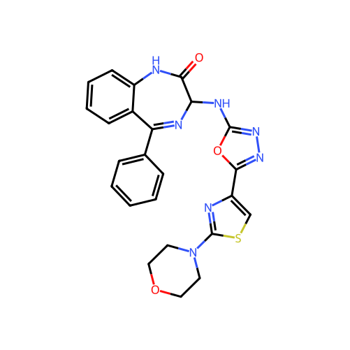 O=C1Nc2ccccc2C(c2ccccc2)=NC1Nc1nnc(-c2csc(N3CCOCC3)n2)o1